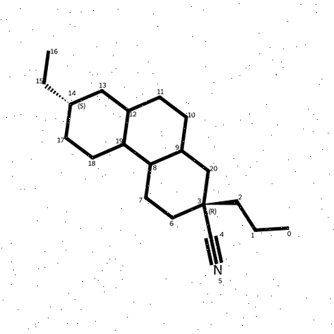 CCC[C@@]1(C#N)CCC2C(CCC3C[C@@H](CC)CCC32)C1